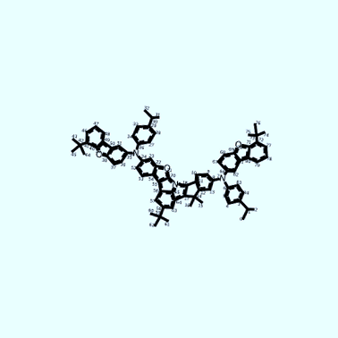 CC(C)c1ccc(N(c2ccc3c(c2)C(C)(C)c2c-3n3c4oc5cc(N(c6ccc(C(C)C)cc6)c6ccc7oc8c(C(C)(C)C)cccc8c7c6)ccc5c4c4cc(C(C)(C)C)cc2c43)c2ccc3oc4c(C(C)(C)C)cccc4c3c2)cc1